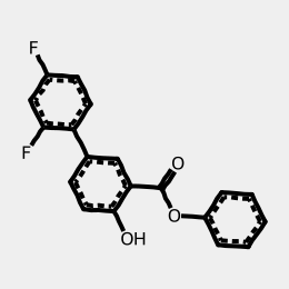 O=C(Oc1ccccc1)c1cc(-c2ccc(F)cc2F)ccc1O